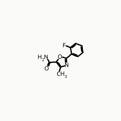 Cc1nc(-c2ccccc2F)oc1C(N)=O